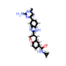 C=C/C=C(\N=C(N)N)c1ccc2[nH]c(C3COc4ccc(C(=O)NC5CC5)cc4C3)nc2c1